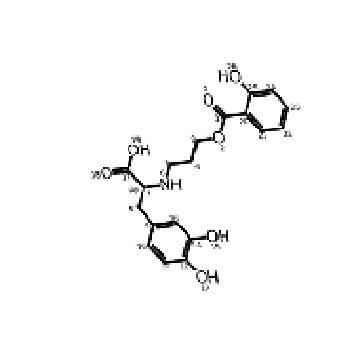 O=C(OCCCN[C@@H](Cc1ccc(O)c(O)c1)C(=O)O)c1ccccc1O